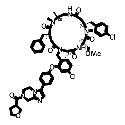 COC[C@@H]1NC(=O)[C@H](C)N(Cc2ccc(Cl)cc2Oc2ccc(-c3cnc4n3CCN(C(=O)C3CCOC3)C4)cc2)C(=O)C[C@@H](Cc2ccccc2)C(=O)N(C)[C@@H](C)CNC(=O)C[C@H](Cc2ccc(Cl)cc2)N(C)C1=O